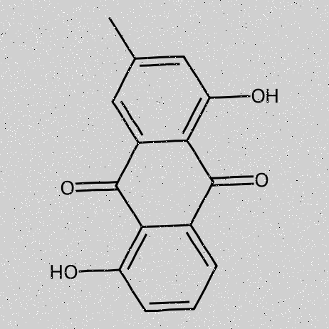 Cc1cc(O)c2c(c1)C(=O)c1c(O)cccc1C2=O